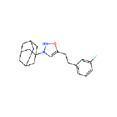 Fc1cccc(CCC2=CN(C34CC5CC(CC(C5)C3)C4)NO2)c1